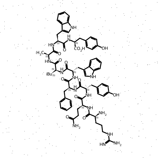 CC[C@H](C)[C@H](NC(=O)[C@H](Cc1c[nH]c2ccccc12)NC(=O)[C@H](Cc1ccccc1)NC(=O)[C@H](Cc1ccc(O)cc1)NC(=O)[C@H](CCC(N)=O)NC(=O)[C@@H](N)CCCNC(=N)N)C(=O)N[C@@H](C)C(=O)N[C@@H](Cc1c[nH]c2ccccc12)C(=O)N[C@@H](Cc1ccc(O)cc1)C(=O)O